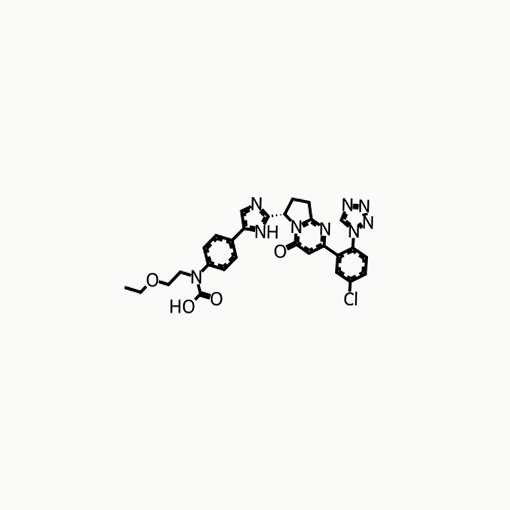 CCOCCN(C(=O)O)c1ccc(-c2cnc([C@@H]3CCc4nc(-c5cc(Cl)ccc5-n5cnnn5)cc(=O)n43)[nH]2)cc1